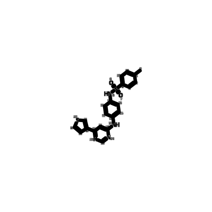 Cc1ccc(S(=O)(=O)Nc2ccc(Nc3cc(-c4ccsc4)ncn3)cc2)cc1